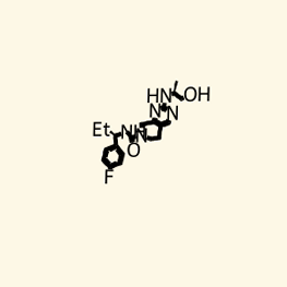 CC[C@@H](NC(=O)N1CCc2cnc(N[C@@H](C)CO)nc2C1)c1ccc(F)cc1